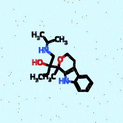 CCC(O)(CNC(C)C)C1(C)OCCc2c1[nH]c1ccccc21